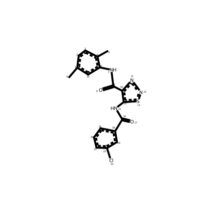 Cc1ccc(C)c(NC(=O)c2nnsc2NC(=O)c2cccc(Cl)c2)c1